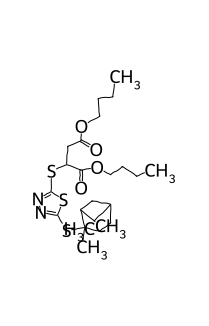 CCCCOC(=O)CC(Sc1nnc(SC2(C)CCC3CC2C3(C)C)s1)C(=O)OCCCC